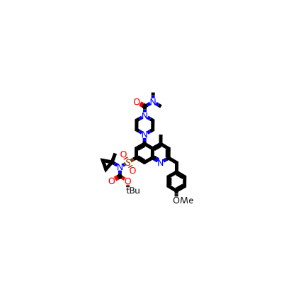 COc1ccc(Cc2cc(C)c3c(N4CCN(C(=O)N(C)C)CC4)cc(S(=O)(=O)N(C(=O)OC(C)(C)C)C4(C)CC4)cc3n2)cc1